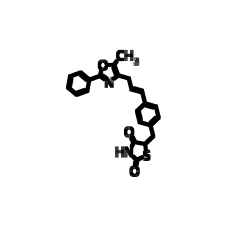 Cc1oc(-c2ccccc2)nc1C/C=C/c1ccc(CC2SC(=O)NC2=O)cc1